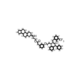 O=C(Cc1cccc(OCCCN(Cc2cccc(C(F)(F)F)c2Cl)CC(c2ccccc2)c2ccccc2)c1)OCCNC1CCC2C(CCC3C4CCCC4CCC23)C1